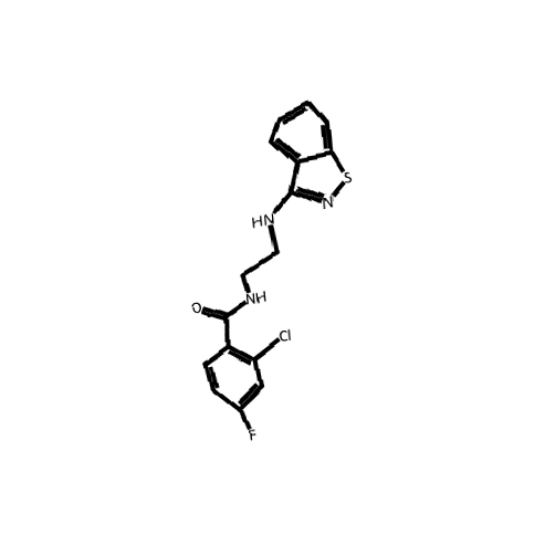 O=C(NCCNc1nsc2ccccc12)c1ccc(F)cc1Cl